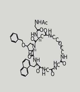 CC(=O)NCC(=O)N[C@H]1CC(=O)NCCOCCNC(=O)CNC(=O)CNC(=O)[C@@H](Cc2cccc3ccccc23)NC(=O)[C@@H]2CC(OCc3ccccc3)CN2C1=O